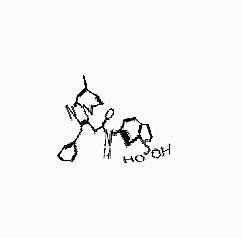 Cc1ccn2c(CC(=O)Nc3ccc4c(c3)S(O)(O)C=C4)c(-c3ccccc3)nc2c1